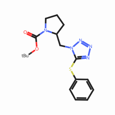 CC(C)(C)OC(=O)N1CCCC1Cn1nnnc1Sc1ccccc1